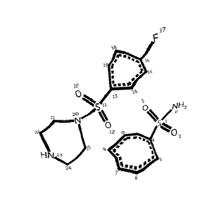 NS(=O)(=O)c1ccccc1.O=S(=O)(c1ccc(F)cc1)N1CCNCC1